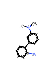 CN(C)c1cccc(-c2ccccc2N)c1